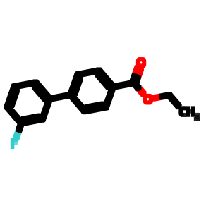 CCOC(=O)c1ccc(-c2cccc(F)c2)cc1